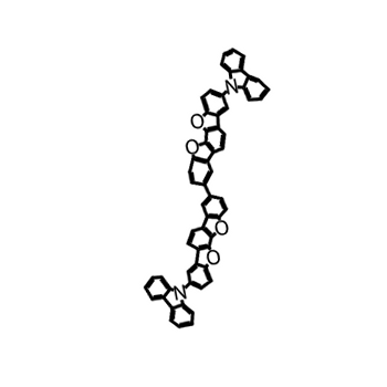 c1ccc2c(c1)c1ccccc1n2-c1ccc2oc3c(ccc4c5cc(-c6ccc7oc8c(ccc9c%10cc(-n%11c%12ccccc%12c%12ccccc%12%11)ccc%10oc98)c7c6)ccc5oc43)c2c1